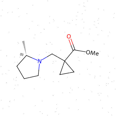 COC(=O)C1(CN2CCC[C@@H]2C)CC1